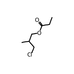 CCC(=O)OCC(C)CCl